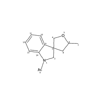 CC(=O)N1CC2(COC(C)C2)c2ccccc21